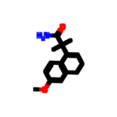 COc1ccc2c(c1)CCC=C2C(C)(C)C(N)=O